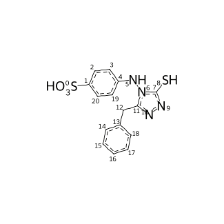 O=S(=O)(O)c1ccc(Nn2c(S)nnc2Cc2ccccc2)cc1